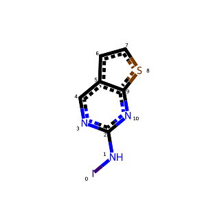 INc1ncc2ccsc2n1